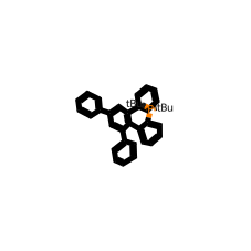 CC(C)(C)P(c1ccccc1-c1c(-c2ccccc2)cc(-c2ccccc2)cc1-c1ccccc1)C(C)(C)C